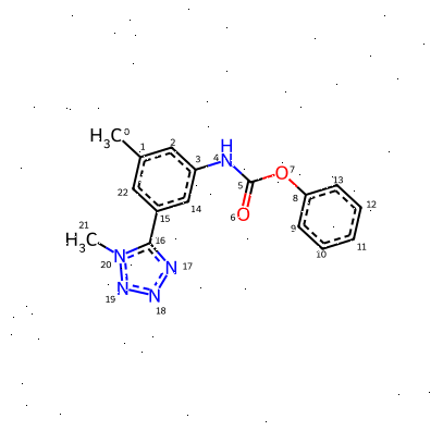 Cc1cc(NC(=O)Oc2ccccc2)cc(-c2nnnn2C)c1